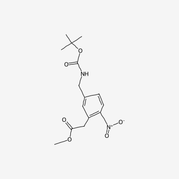 COC(=O)Cc1cc(CNC(=O)OC(C)(C)C)ccc1[N+](=O)[O-]